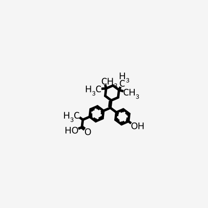 CC(C(=O)O)c1ccc(C(=C2CC(C)(C)CC(C)(C)C2)c2ccc(O)cc2)cc1